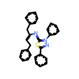 C(Cc1ccccc1)=C(Cc1ccccc1)N=c1sc(-c2ccccc2)nn1-c1ccccc1